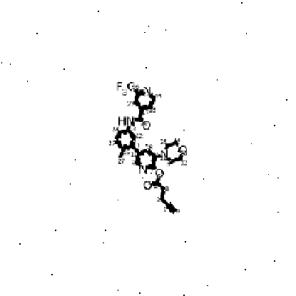 C#CCCC(=O)Oc1ncc(-c2cc(NC(=O)c3ccnc(C(F)(F)F)c3)ccc2C)cc1N1CCOCC1